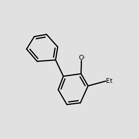 CCc1cccc(-c2ccccc2)c1[O]